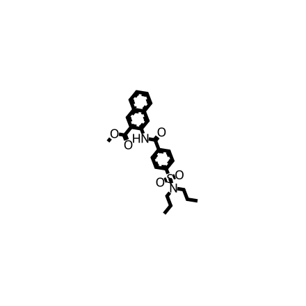 CCCN(CCC)S(=O)(=O)c1ccc(C(=O)Nc2cc3ccccc3cc2C(=O)OC)cc1